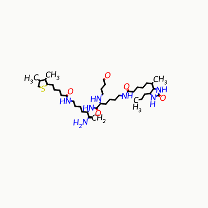 C=C(N)C(CCCCNC(=O)CCCCC1SCC(C)C1C)NC(=O)C(CCCCNC(=O)CCCCC(C)C1NC(=O)NC1CCC)NCCCC=O